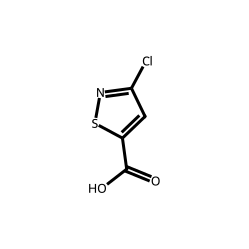 O=C(O)c1cc(Cl)ns1